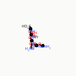 CCCOc1c(NC(=O)c2ccc(NC(=O)[C@H](CC(N)=O)NC(=O)c3ccc(NC(=O)c4ccc(N)cc4)cc3)cc2)ccc(C(=O)Nc2ccc(C(=O)O)cc2)c1O